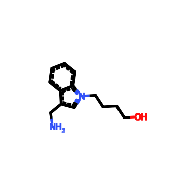 NCc1cn(CCCCO)c2ccccc12